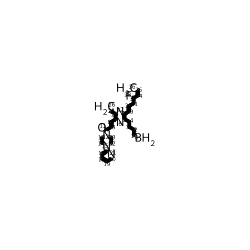 BCCCCc1nc(/C=C/C(=O)N2CCN(c3ccccn3)CC2)c(C=C)nc1/C=C/CC(F)/C=C\C